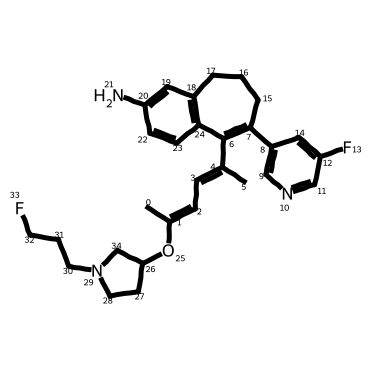 C/C(=C\C=C(/C)C1=C(c2cncc(F)c2)CCCc2cc(N)ccc21)OC1CCN(CCCF)C1